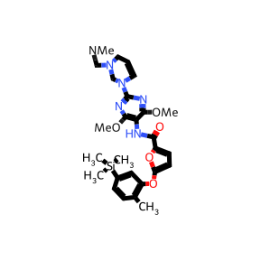 CNCN1CC=CN(c2nc(OC)c(NC(=O)c3ccc(Oc4cc([Si](C)(C)C)ccc4C)o3)c(OC)n2)C1